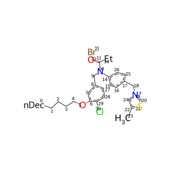 CCCCCCCCCCCCCCOc1cc(CN(C(=O)CC)c2ccc(C[n+]3csc(C)c3)cc2)ccc1Cl.[Br-]